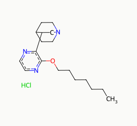 CCCCCCCOc1nccnc1C1CN2CCC1CC2.Cl